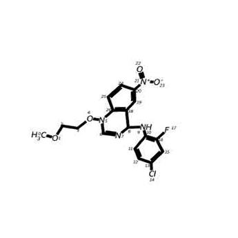 COCCON1C=NC(Nc2ccc(Cl)cc2F)c2cc([N+](=O)[O-])ccc21